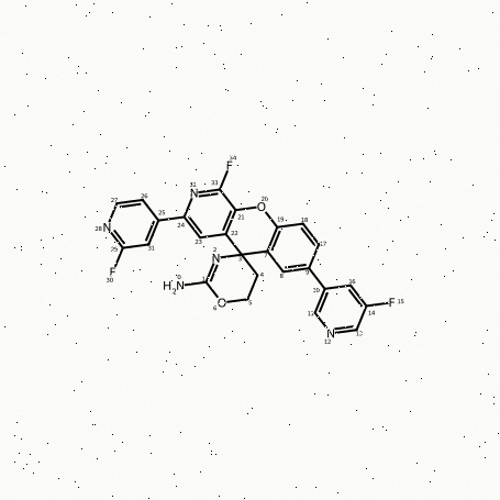 NC1=NC2(CCO1)c1cc(-c3cncc(F)c3)ccc1Oc1c2cc(-c2ccnc(F)c2)nc1F